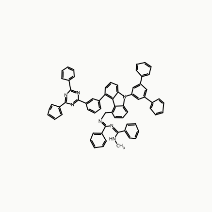 CN/C(=N\C(=N/Cc1cccc2c1c1c(-c3cccc(-c4nc(-c5ccccc5)nc(-c5ccccc5)n4)c3)cccc1n2-c1cc(-c2ccccc2)cc(-c2ccccc2)c1)c1ccccc1)c1ccccc1